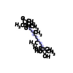 CC1=CC(=O)CC(C)(C)C1(O)CC(=O)/C(C)=C/C=C/C(C)=C/C=C/C=C(C)/C=C/C=C(C)/C=C1/C(C)(C)CC(O)CC1(C)O